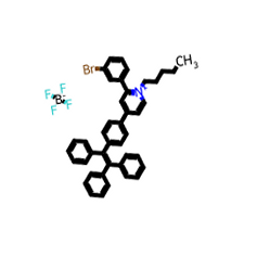 CCCCC[n+]1ccc(-c2ccc(C(=C(c3ccccc3)c3ccccc3)c3ccccc3)cc2)cc1-c1cccc(Br)c1.F[B-](F)(F)F